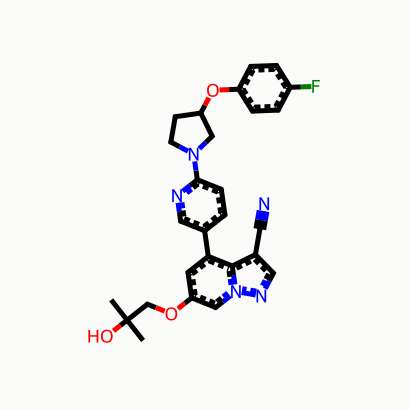 CC(C)(O)COc1cc(-c2ccc(N3CCC(Oc4ccc(F)cc4)C3)nc2)c2c(C#N)cnn2c1